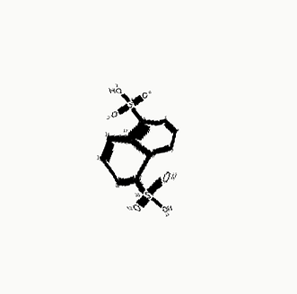 O=S(=O)(O)c1[c][c]cc2c(S(=O)(=O)O)cccc12